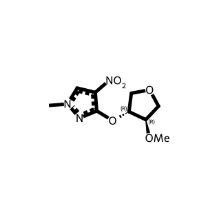 CO[C@@H]1COC[C@H]1Oc1nn(C)cc1[N+](=O)[O-]